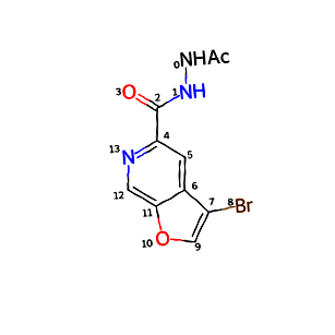 CC(=O)NNC(=O)c1cc2c(Br)coc2cn1